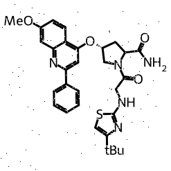 COc1ccc2c(O[C@@H]3CC(C(N)=O)N(C(=O)CNc4nc(C(C)(C)C)cs4)C3)cc(-c3ccccc3)nc2c1